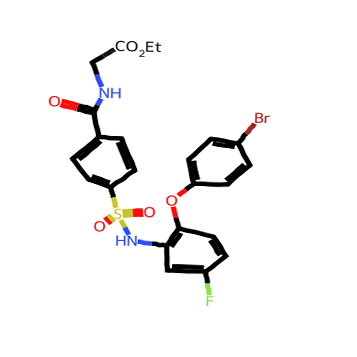 CCOC(=O)CNC(=O)c1ccc(S(=O)(=O)Nc2cc(F)ccc2Oc2ccc(Br)cc2)cc1